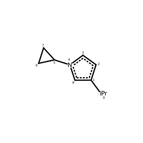 CC(C)c1ccn(C2CC2)c1